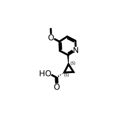 COc1ccnc([C@H]2C[C@@H]2C(=O)O)c1